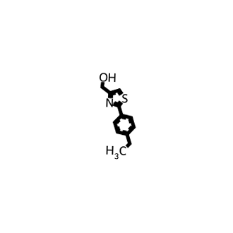 CCc1ccc(-c2nc(CO)cs2)cc1